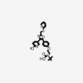 COc1ccc(-c2nc(CSc3ccccn3)oc2-c2ccc(OCCN(C(=O)O)C(C)(C)C)cc2)cn1